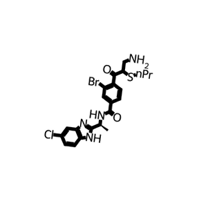 CCCSC(CN)C(=O)c1ccc(C(=O)N[C@@H](C)c2nc3cc(Cl)ccc3[nH]2)cc1Br